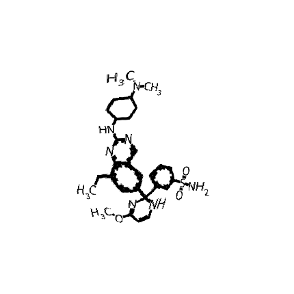 CCc1cc(C2(c3cccc(S(N)(=O)=O)c3)N=C(OC)C=CN2)cc2cnc(NC3CCC(N(C)C)CC3)nc12